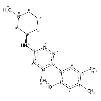 Cc1cc(O)c(-c2nnc(N[C@@H]3CCCN(C)C3)cc2C)cc1C